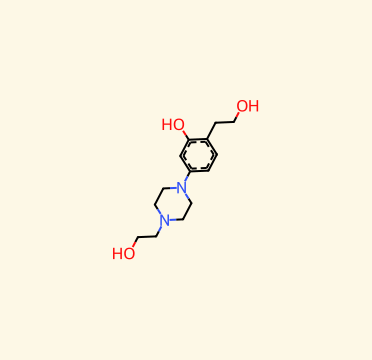 OCCc1ccc(N2CCN(CCO)CC2)cc1O